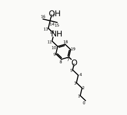 CCCCCCOc1ccc(CNCC(C)(C)O)cc1